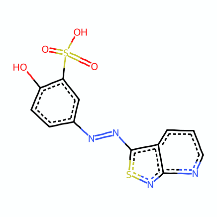 O=S(=O)(O)c1cc(/N=N/c2snc3ncccc23)ccc1O